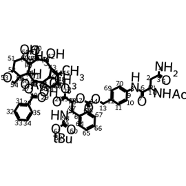 CC(=O)N[C@H](CC(N)=O)C(=O)Nc1ccc(COC(=O)O[C@@H](C(=O)O[C@H]2C[C@@]3(O)[C@@H](OC(=O)c4ccccc4)[C@H]4[C@](C)(C(=O)[C@H](O)C(=C2C)C3(C)C)[C@@H](O)CC2OC[C@]24OC(C)=O)[C@@H](NC(=O)OC(C)(C)C)c2ccccc2)cc1